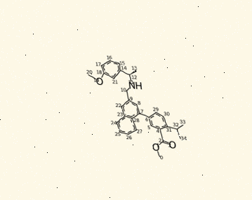 COC(=O)c1cc(-c2cc(CN[C@H](C)c3cccc(OC)c3)cc3ccccc23)ccc1C(C)C